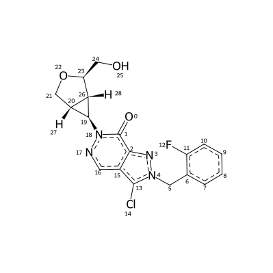 O=c1c2nn(Cc3ccccc3F)c(Cl)c2cnn1[C@H]1[C@@H]2CO[C@@H](CO)[C@@H]21